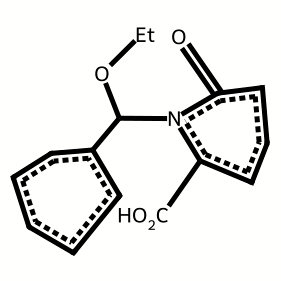 CCOC(c1ccccc1)n1c(C(=O)O)cccc1=O